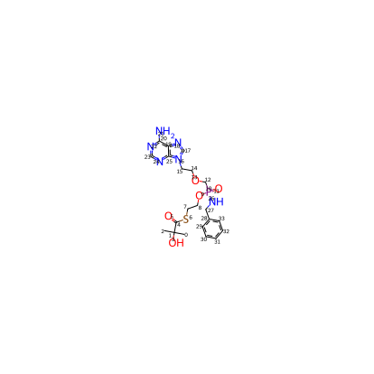 CC(C)(O)C(=O)SCCOP(=O)(COCCn1cnc2c(N)ncnc21)NCc1ccccc1